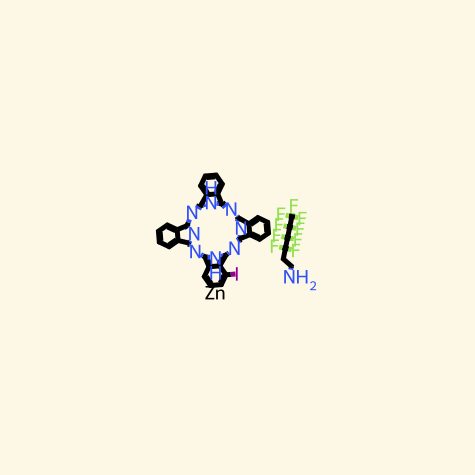 Ic1cccc2c3nc4nc(nc5[nH]c(nc6nc(nc([nH]3)c12)-c1ccccc1-6)c1ccccc51)-c1ccccc1-4.NCCC(F)(F)C(F)(F)C(F)(F)C(F)(F)F.[Zn]